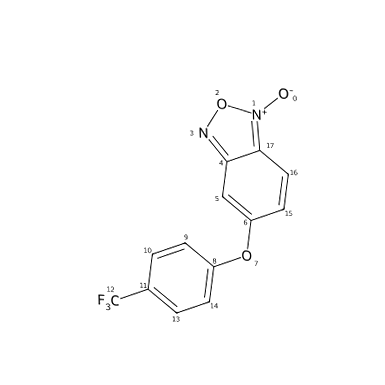 [O-][n+]1onc2cc(Oc3ccc(C(F)(F)F)cc3)ccc21